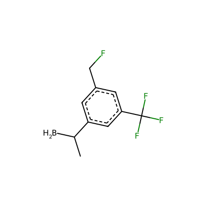 BC(C)c1cc(CF)cc(C(F)(F)F)c1